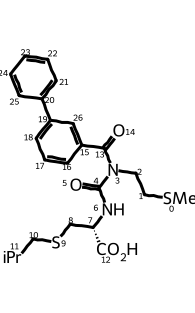 CSCCN(C(=O)N[C@@H](CSCC(C)C)C(=O)O)C(=O)c1cccc(-c2ccccc2)c1